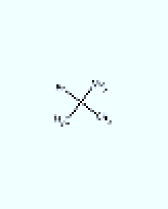 [CH2]CC(C)(C)N